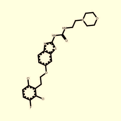 O=C(NCCN1CCOCC1)Nc1nc2ccc(OCCc3c(Cl)ccc(F)c3Cl)cc2s1